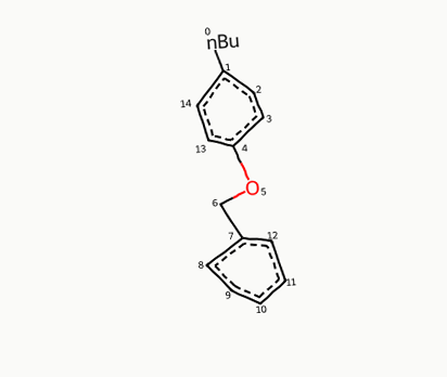 CC[CH]Cc1ccc(OCc2ccccc2)cc1